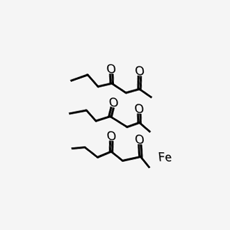 CCCC(=O)CC(C)=O.CCCC(=O)CC(C)=O.CCCC(=O)CC(C)=O.[Fe]